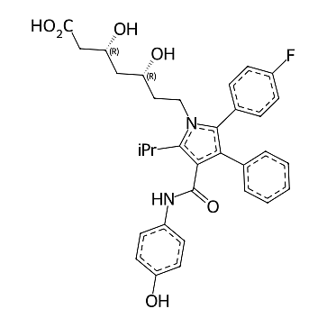 CC(C)c1c(C(=O)Nc2ccc(O)cc2)c(-c2ccccc2)c(-c2ccc(F)cc2)n1CC[C@@H](O)C[C@@H](O)CC(=O)O